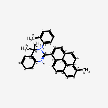 Cc1ccccc1N1C(c2ccc3ccc4c(C)ccc5ccc2c3c54)=NC2=C(C=CCC2)C1(C)C